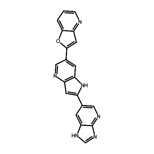 c1cnc2cc(-c3cnc4cc(-c5cnc6nc[nH]c6c5)[nH]c4c3)oc2c1